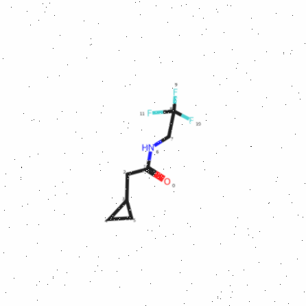 O=C(CC1CC1)NCC(F)(F)F